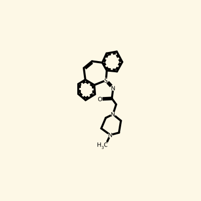 CN1CCN(CC(=O)N=S2c3ccccc3C=Cc3ccccc32)CC1